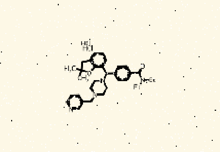 CCN(CC)C(=O)c1ccc(C(c2cccc3c2OC(C)(C)C3)N2CCN(Cc3cccnc3)CC2)cc1.Cl.Cl